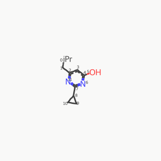 CC(C)Cc1cc(O)nc(C2CC2)n1